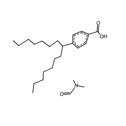 CCCCCCCC(CCCCCCC)c1ccc(C(=O)O)cc1.CN(C)C=O